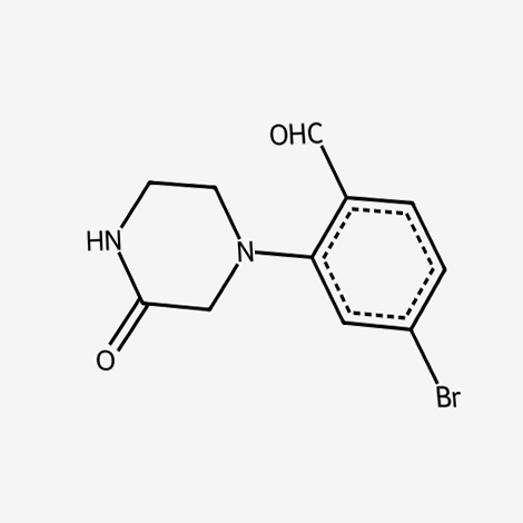 O=Cc1ccc(Br)cc1N1CCNC(=O)C1